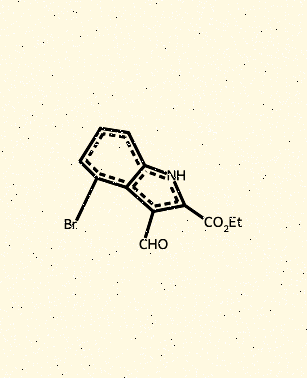 CCOC(=O)c1[nH]c2cccc(Br)c2c1C=O